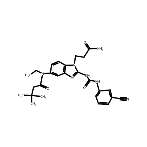 CCN(C(=O)CC(C)(C)C)c1ccc2c(c1)nc(NC(=O)Nc1cccc(C#N)c1)n2CCC(N)=O